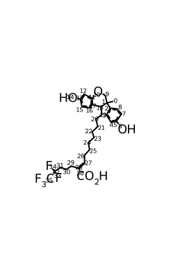 CC1(c2ccc(O)cc2)COc2cc(O)ccc2C1CCCCCCCCC=C(CCCC(F)(F)C(F)(F)F)C(=O)O